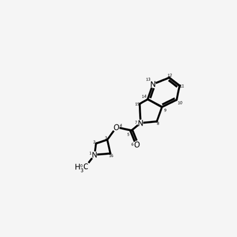 CN1CC(OC(=O)N2Cc3cccnc3C2)C1